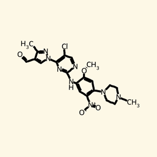 COc1cc(N2CCN(C)CC2)c([N+](=O)[O-])cc1Nc1ncc(Cl)c(-n2cc(C=O)c(C)n2)n1